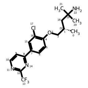 C[C@H](COc1ccc(-c2ccnc(C(F)(F)F)n2)cc1Cl)CC(C)(C)N